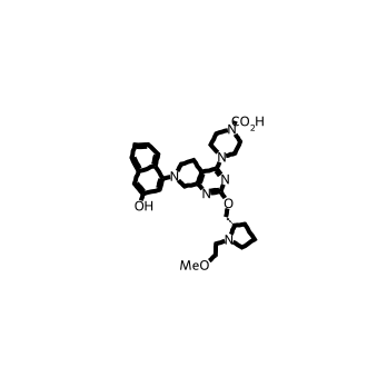 COCCN1CCC[C@H]1COc1nc2c(c(N3CCN(C(=O)O)CC3)n1)CCN(c1cc(O)cc3ccccc13)C2